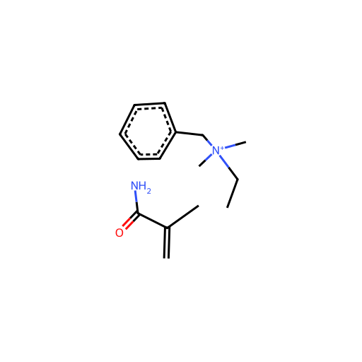 C=C(C)C(N)=O.CC[N+](C)(C)Cc1ccccc1